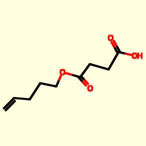 C=CCCCOC(=O)CCC(=O)O